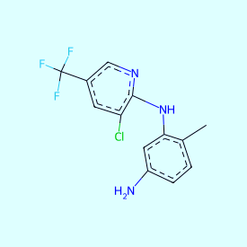 Cc1ccc(N)cc1Nc1ncc(C(F)(F)F)cc1Cl